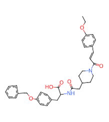 CCOc1ccc(C=CC(=O)N2CCC(CC(=O)NC(Cc3ccc(OCc4ccccc4)cc3)C(=O)O)CC2)cc1